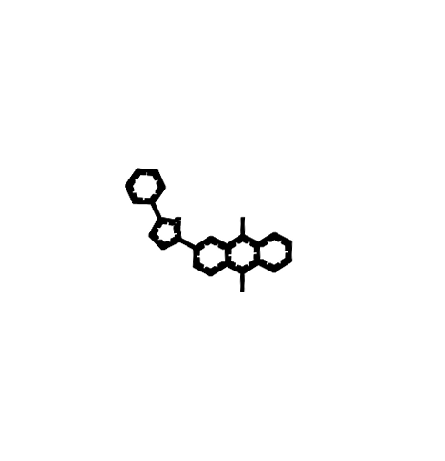 Cc1c2ccccc2c(C)c2cc(-c3ccc(-c4ccccc4)s3)ccc12